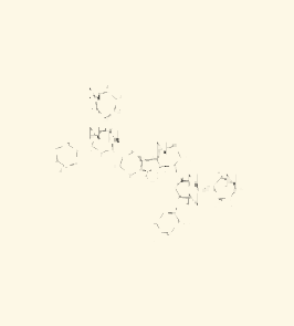 c1ccc(-c2cc(-c3ccc4oc5c(-c6cc(-c7ccccc7)nc(-c7cccnc7)n6)ccnc5c4c3)nc(-c3cccnc3)n2)cc1